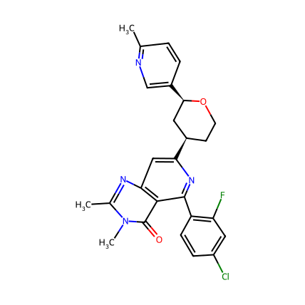 Cc1ccc([C@@H]2C[C@H](c3cc4nc(C)n(C)c(=O)c4c(-c4ccc(Cl)cc4F)n3)CCO2)cn1